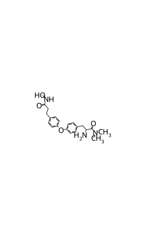 CN(C)C(=O)C(N)Cc1ccc(Oc2ccc(CCC(=O)NO)cc2)cc1